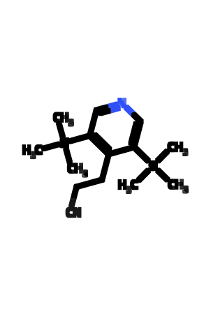 C[Si](C)(C)c1cncc([Si](C)(C)C)c1CCC#N